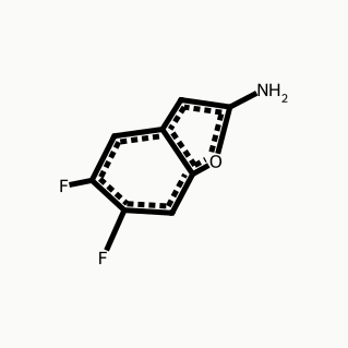 Nc1cc2cc(F)c(F)cc2o1